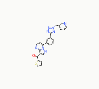 O=C(c1cccs1)c1cnn2c(-c3cccc(-c4nnn(Cc5cccnc5)n4)c3)ccnc12